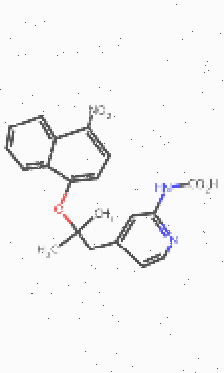 CC(C)(Cc1ccnc(NC(=O)O)c1)Oc1ccc([N+](=O)[O-])c2ccccc12